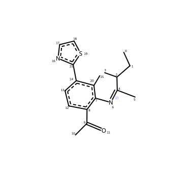 CCC(C)/C(C)=N\c1c(C(C)=O)ccc(-c2nccs2)c1C